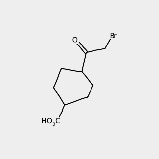 O=C(O)C1CCC(C(=O)CBr)CC1